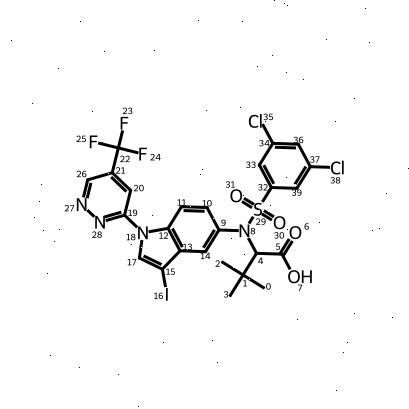 CC(C)(C)C(C(=O)O)N(c1ccc2c(c1)c(I)cn2-c1cc(C(F)(F)F)cnn1)S(=O)(=O)c1cc(Cl)cc(Cl)c1